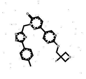 Cc1ccc(-c2noc(Cn3nc(-c4cnc(OCC5(F)COC5)nc4)ccc3=O)n2)cc1